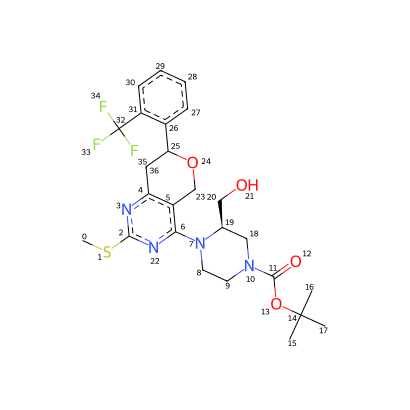 CSc1nc2c(c(N3CCN(C(=O)OC(C)(C)C)C[C@@H]3CO)n1)COC(c1ccccc1C(F)(F)F)C2